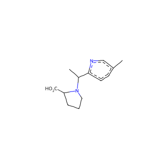 Cc1ccc(C(C)N2CCCC2C(=O)O)nc1